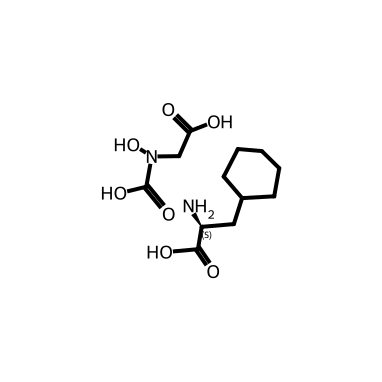 N[C@@H](CC1CCCCC1)C(=O)O.O=C(O)CN(O)C(=O)O